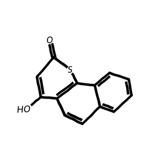 O=c1cc(O)c2ccc3ccccc3c2s1